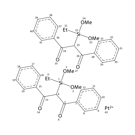 CC[Si](OC)(OC)C(C(=O)c1ccccc1)C(=O)c1ccccc1.CC[Si](OC)(OC)C(C(=O)c1ccccc1)C(=O)c1ccccc1.[Pt+2]